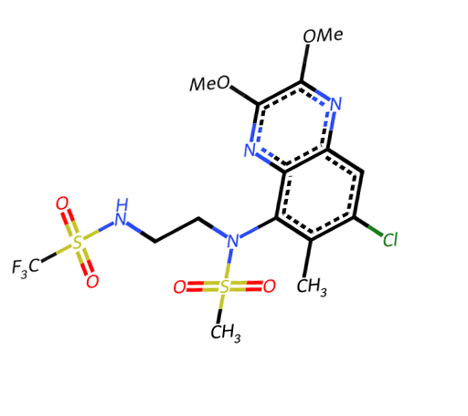 COc1nc2cc(Cl)c(C)c(N(CCNS(=O)(=O)C(F)(F)F)S(C)(=O)=O)c2nc1OC